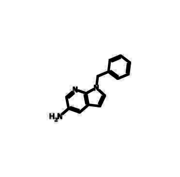 Nc1cnc2c(ccn2Cc2ccccc2)c1